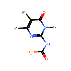 CCn1c(NC(=O)P)nc(C(C)C)c(C(C)C)c1=O